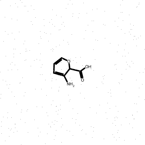 NC1=CC=COC1C(=O)O